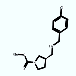 CC(C)(C)OC(=O)N1CC[C@H](CNCc2ccc(Cl)cc2)C1